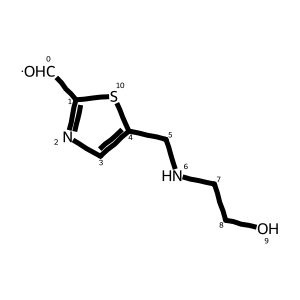 O=[C]c1ncc(CNCCO)s1